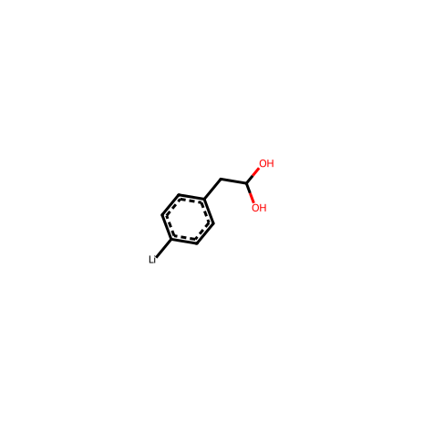 [Li][c]1ccc(CC(O)O)cc1